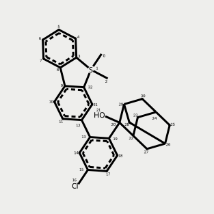 CS1(C)c2ccccc2-c2ccc(-c3cc(Cl)ccc3C3(O)C4CC5CC(C4)CC3C5)cc21